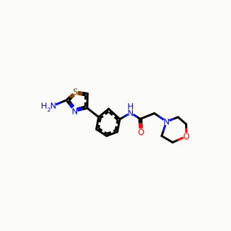 Nc1nc(-c2cccc(NC(=O)CN3CCOCC3)c2)cs1